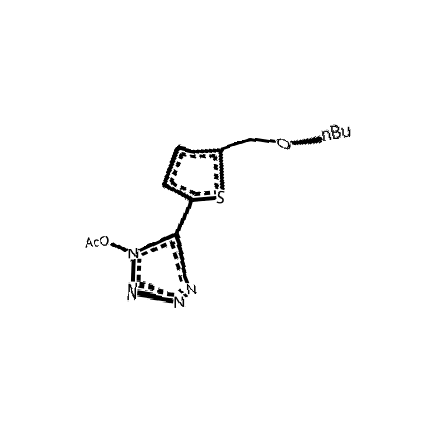 CCCCOCc1ccc(-c2nnnn2OC(C)=O)s1